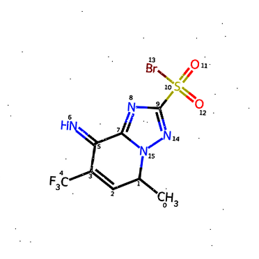 CC1C=C(C(F)(F)F)C(=N)c2nc(S(=O)(=O)Br)nn21